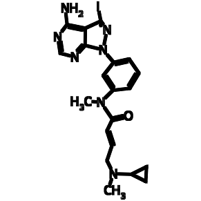 CN(C(=O)C=CCN(C)C1CC1)c1cccc(-n2nc(I)c3c(N)ncnc32)c1